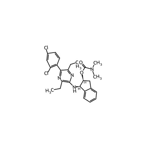 CCc1nc(-c2ccc(Cl)cc2Cl)c(CC)nc1N[C@@H]1c2ccccc2C[C@@H]1OC(=O)N(C)C